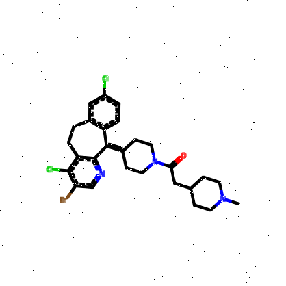 CN1CCC(CC(=O)N2CCC(=C3c4ccc(Cl)cc4CCc4c3ncc(Br)c4Cl)CC2)CC1